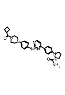 NC(=O)[C@H]1CCCN1c1ccc(-c2ccnc(Nc3ccc(N4CCN(C(=O)C5CCC5)CC4)cc3)n2)cc1